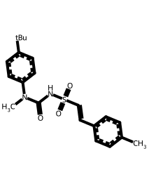 Cc1ccc(/C=C/S(=O)(=O)NC(=O)N(C)c2ccc(C(C)(C)C)cc2)cc1